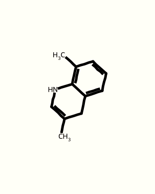 CC1=CNc2c(C)cccc2C1